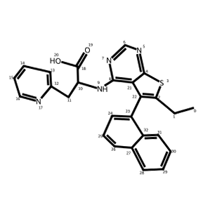 CCc1sc2ncnc(NC(Cc3ccccn3)C(=O)O)c2c1-c1cccc2ccccc12